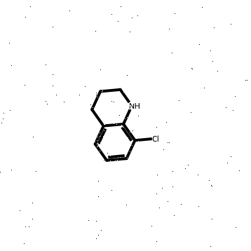 Clc1c[c]cc2c1NCCC2